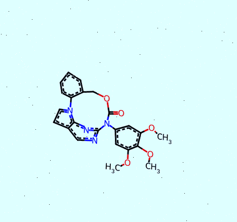 COc1cc(N2C(=O)OCc3ccccc3-n3ccc4cnc2nc43)cc(OC)c1OC